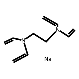 C=CN(C=C)CCN(C=C)C=C.[Na]